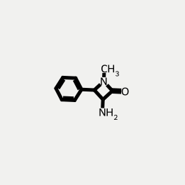 CN1C(=O)C(N)C1c1ccccc1